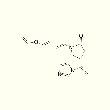 C=CN1CCCC1=O.C=COC=C.C=Cn1ccnc1